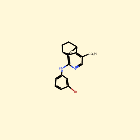 O=C(O)c1cnc(Nc2cccc(Br)c2)c2c1C1CCC2CC1